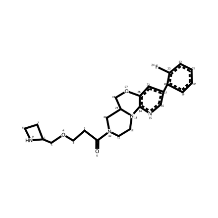 O=C(CCOCC1CCN1)N1CCN2c3ncc(-c4ccccc4F)cc3OCC2C1